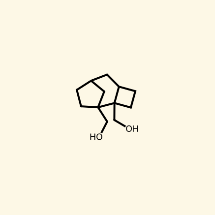 OCC12CCC(CC3CCC31CO)C2